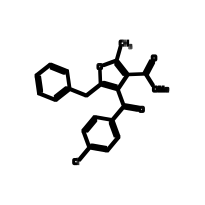 COC(=O)c1c(C)oc(Cc2ccccc2)c1C(=O)c1ccc(Cl)cc1